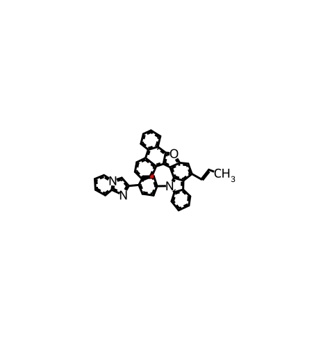 C/C=C/c1cc2oc3c4ccccc4c4ccccc4c3c2c2c1c1ccccc1n2-c1ccc(-c2cn3ccccc3n2)cc1